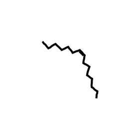 CCCCCC/C=C\CCCCCCC